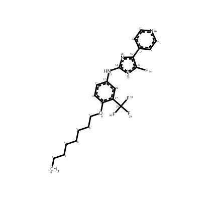 CCCCCCCCOc1ccc(Nc2nc(-c3ccncc3)c(F)s2)cc1C(F)(F)F